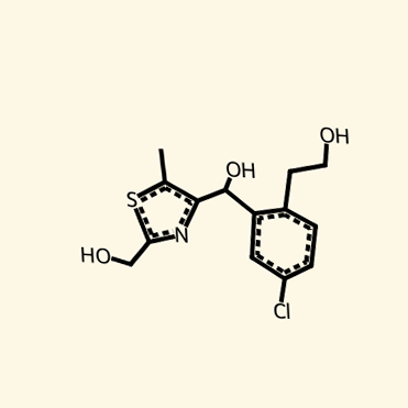 Cc1sc(CO)nc1C(O)c1cc(Cl)ccc1CCO